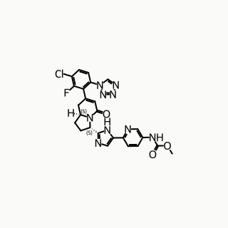 COC(=O)Nc1ccc(-c2cnc([C@@H]3CC[C@H]4CC(c5c(-n6cnnn6)ccc(Cl)c5F)=CC(=O)N43)[nH]2)nc1